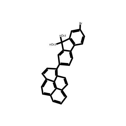 CCCCCCCCC1(CCCCCCCC)c2cc(Br)ccc2-c2ccc(-c3ccc4ccc5cccc6ccc3c4c56)cc21